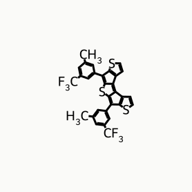 Cc1cc(C2=c3sc4c(c3-c3ccsc32)-c2ccsc2C=4c2cc(C)cc(C(F)(F)F)c2)cc(C(F)(F)F)c1